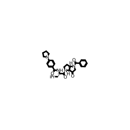 CC(C)C[C@H](NC(=O)c1ccc(N2CCCC2)cc1)C(=O)N1CC[C@@H]2[C@H]1C(=O)CN2C(=O)c1ccccc1